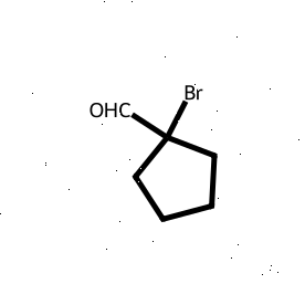 O=CC1(Br)CCCC1